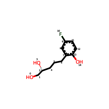 OC[C@H](O)CCCc1cc(F)ccc1O